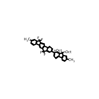 CCCCCCCCC1(CCCCCCCC)c2cc(C)ccc2-c2ccc(-c3ccc4c(c3)C(F)(F)c3cc5c(cc3-4)C(F)(F)c3cc(C)ccc3-5)cc21